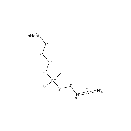 CCCCCCCCCCC[N+](C)(C)CCN=[N+]=[N-]